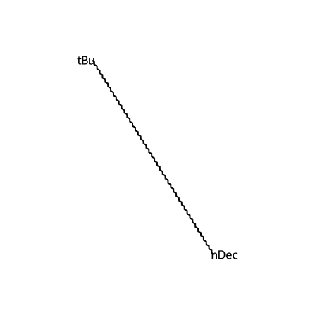 CCCCCCCCCCCCCCCCCCCCCCCCCCCCCCCCCCCCCCCCCCCCCCCCCCCCCCCCCCCCCCCCCCCCCCCCCCCCCCCCCCCCCCCCCCCCCCCCCCC(C)(C)C